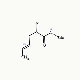 C/C=C/CC(C(=O)NC(C)(C)C)C(C)C